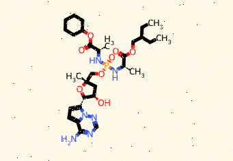 CCC(CC)COC(=O)[C@H](C)NP(=O)(N[C@@H](C)C(=O)OC1CCCCC1)OC[C@]1(C)C[C@@H](O)[C@H](c2ccc3c(N)ncnn23)O1